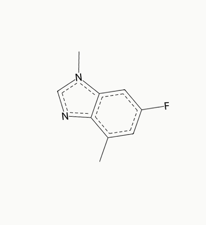 Cc1cc(F)cc2c1ncn2C